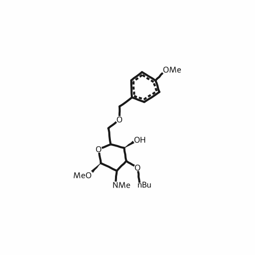 CCCCOC1C(NC)[C@@H](OC)OC(COCc2ccc(OC)cc2)[C@H]1O